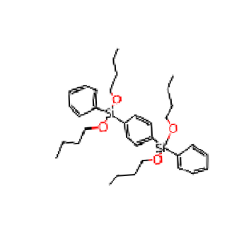 CCCCO[Si](OCCCC)(c1ccccc1)c1ccc([Si](OCCCC)(OCCCC)c2ccccc2)cc1